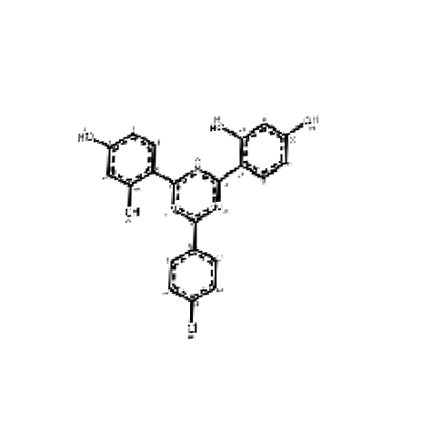 Oc1ccc(-c2nc(-c3ccc(Cl)cc3)nc(-c3ccc(O)cc3O)n2)c(O)c1